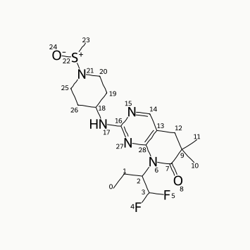 CCC(C(F)F)N1C(=O)C(C)(C)Cc2cnc(NC3CCN([S+](C)[O-])CC3)nc21